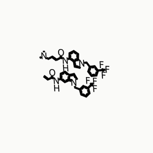 C=CC(=O)Nc1ccc2ccn(Cc3cccc(C(F)(F)F)c3)c2c1.CN(C)C/C=C/C(=O)Nc1cccc2c1ccn2Cc1cccc(C(F)(F)F)c1